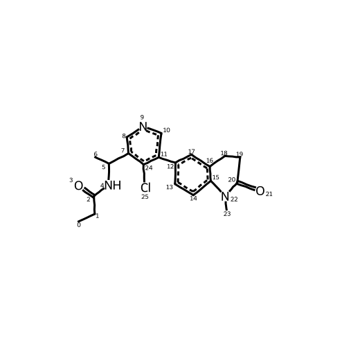 CCC(=O)NC(C)c1cncc(-c2ccc3c(c2)CCC(=O)N3C)c1Cl